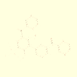 COc1c(S(=O)(=O)O)cc(C(=O)c2ccccc2)c(O)c1-c1cccc(C(=O)c2ccccc2)c1